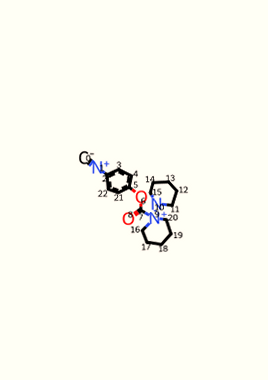 [C-]#[N+]c1ccc(OC(=O)[N+]2(N3CCCCC3)CCCCC2)cc1